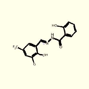 O=C(N/N=C/c1cc(C(F)(F)F)cc(Cl)c1O)c1ccccc1O